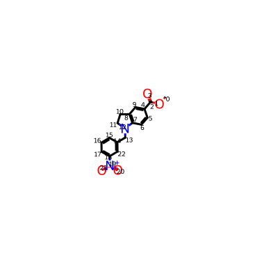 COC(=O)c1ccc2c(c1)CCN2Cc1cccc([N+](=O)[O-])c1